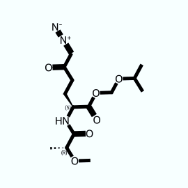 CO[C@H](C)C(=O)N[C@@H](CCC(=O)C=[N+]=[N-])C(=O)OCOC(C)C